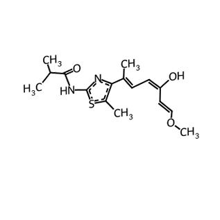 CO/C=C/C(O)=C\C=C(/C)c1nc(NC(=O)C(C)C)sc1C